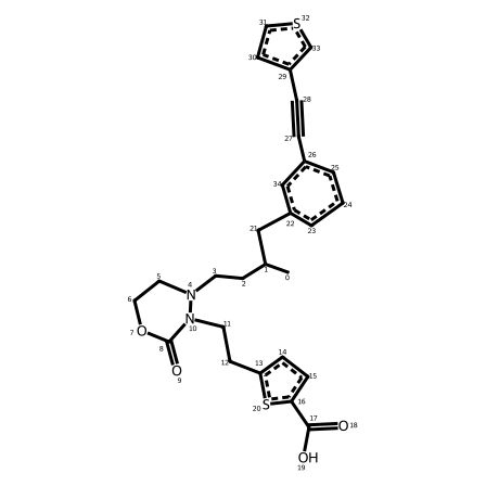 CC(CCN1CCOC(=O)N1CCc1ccc(C(=O)O)s1)Cc1cccc(C#Cc2ccsc2)c1